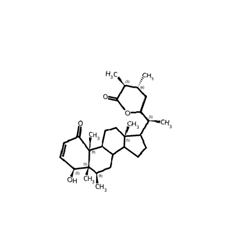 C[C@H](C1C[C@@H](C)[C@H](C)C(=O)O1)C1CCC2C3C[C@@H](C)[C@]4(C)[C@@H](O)C=CC(=O)[C@]4(C)C3CC[C@@]21C